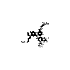 COCCCN1CCOc2ccc(CO[C@H]3CN(C(=O)OC(C)(C)C)[C@@H](C[C@H](C)O)C[C@@H]3c3ccc(COCCOC)cc3)cc21